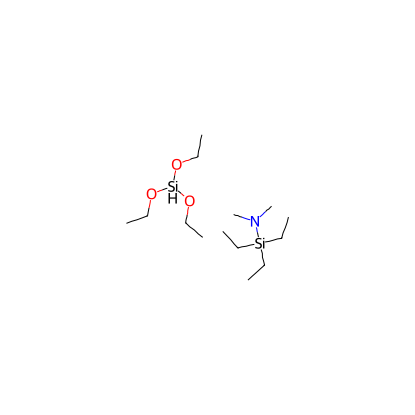 CCO[SiH](OCC)OCC.CC[Si](CC)(CC)N(C)C